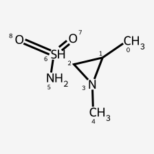 CC1CN1C.N[SH](=O)=O